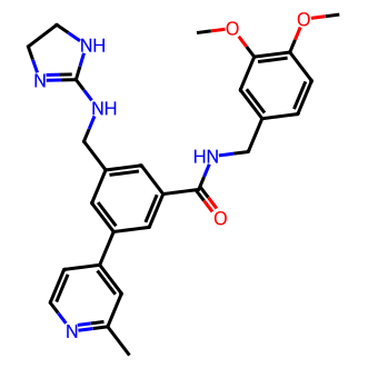 COc1ccc(CNC(=O)c2cc(CNC3=NCCN3)cc(-c3ccnc(C)c3)c2)cc1OC